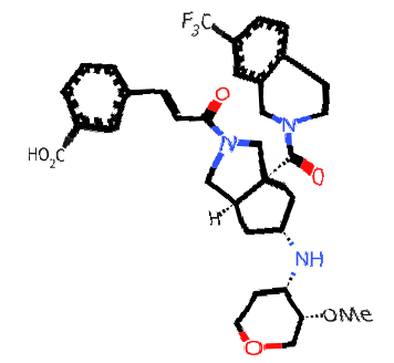 CO[C@@H]1COCC[C@@H]1N[C@@H]1C[C@H]2CN(C(=O)/C=C/c3cccc(C(=O)O)c3)C[C@@]2(C(=O)N2CCc3ccc(C(F)(F)F)cc3C2)C1